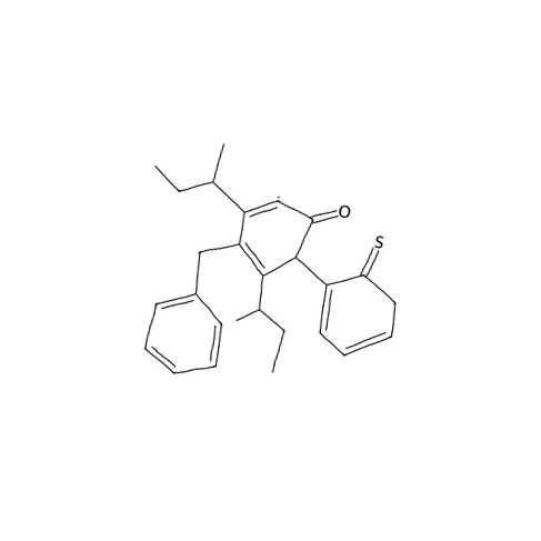 CCC(C)C1=[C]C(=O)C(C2=CC=CCC2=S)C(C(C)CC)=C1Cc1ccccc1